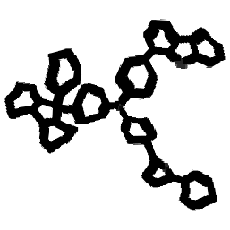 c1ccc(-c2ccc(-c3ccc(N(c4ccc(-c5cccc6c5sc5ccccc56)cc4)c4ccc(C5(c6ccccc6)c6ccccc6-c6ccccc65)cc4)cc3)s2)cc1